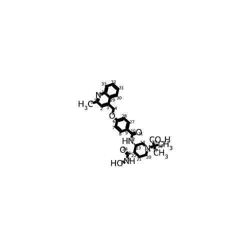 Cc1cc(COc2ccc(C(=O)N[C@@H]3CN(C(C)(C)C(=O)O)CC[C@@H]3C(=O)NO)cc2)c2ccccc2n1